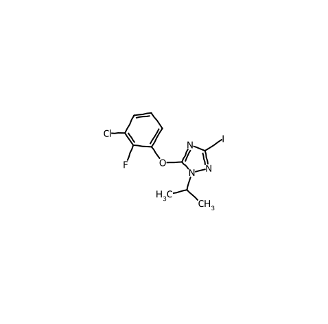 CC(C)n1nc(I)nc1Oc1cccc(Cl)c1F